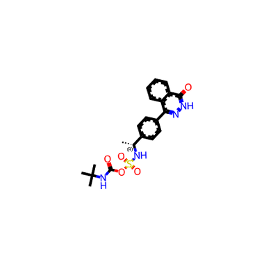 C[C@@H](NS(=O)(=O)OC(=O)NC(C)(C)C)c1ccc(-c2n[nH]c(=O)c3ccccc23)cc1